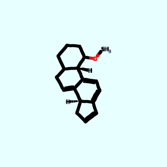 [SiH3]OC1CCCC2CC=C3C(=CC=C4C=CC[C@H]43)[C@H]21